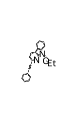 CCOCn1c2ccccc2c2ccc(C#Cc3ccccc3)nc21